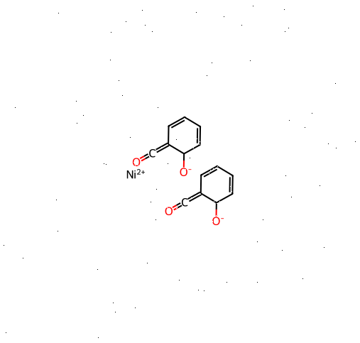 O=C=C1C=CC=CC1[O-].O=C=C1C=CC=CC1[O-].[Ni+2]